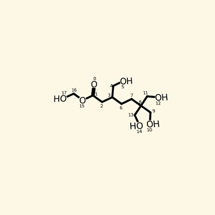 O=C(CC(CO)CCC(CO)(CO)CO)OCO